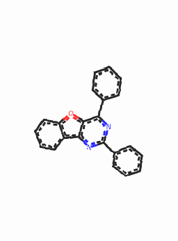 c1ccc(-c2nc(-c3ccccc3)c3oc4ccccc4c3n2)cc1